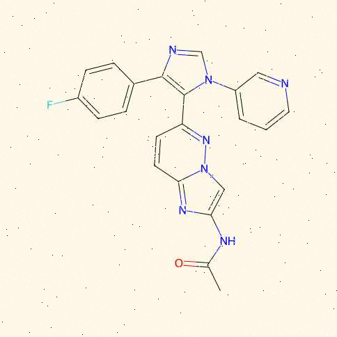 CC(=O)Nc1cn2nc(-c3c(-c4ccc(F)cc4)ncn3-c3cccnc3)ccc2n1